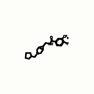 O=C(NCC1C2CN(CC3CCCC3)CC12)c1ccc(F)c(C(F)(F)F)c1